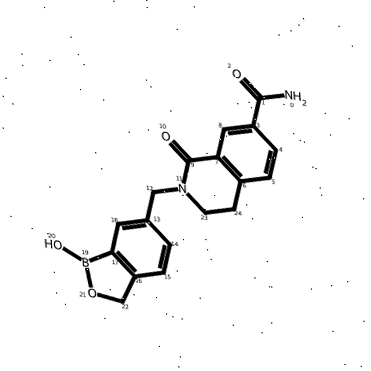 NC(=O)c1ccc2c(c1)C(=O)N(Cc1ccc3c(c1)B(O)OC3)CC2